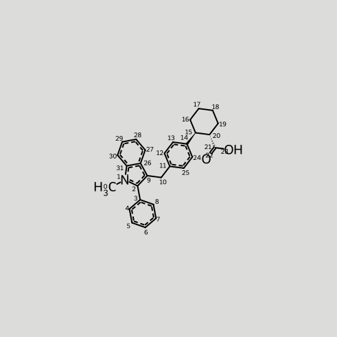 Cn1c(-c2ccccc2)c(Cc2ccc([C@H]3CCCC[C@@H]3C(=O)O)cc2)c2ccccc21